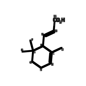 CC1=CCCC(C)(C)C1/C=C/C(=O)O